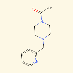 CC(C)C(=O)N1CCN(Cc2ccccn2)CC1